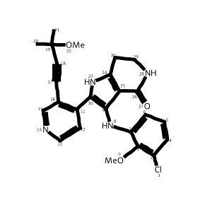 COc1c(Cl)cccc1Nc1c(-c2ccncc2C#CC(C)(C)OC)[nH]c2c1C(=O)NCC2